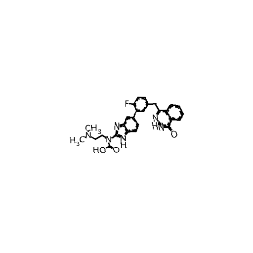 CN(C)CCN(C(=O)O)c1nc2cc(-c3cc(Cc4n[nH]c(=O)c5ccccc45)ccc3F)ccc2[nH]1